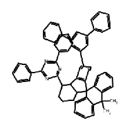 CC1(C)c2ccccc2C2(c3ccc(-c4cc(-c5ccccc5)cc(C5C=CC=CC5)c4)cc3C3C(c4nc(-c5ccccc5)nc(-c5ccccc5)n4)CCCC32)c2ccccc21